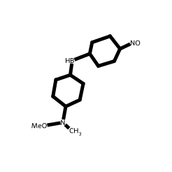 CON(C)C1CCC(BC2CCC(N=O)CC2)CC1